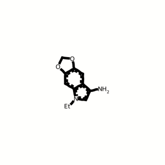 CCn1cc(N)c2cc3c(cc21)OCO3